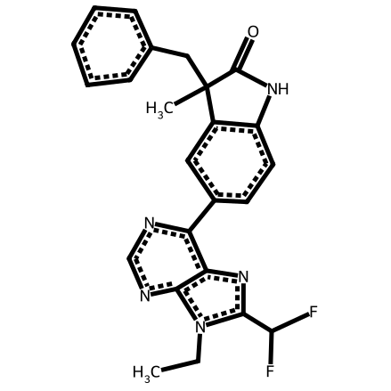 CCn1c(C(F)F)nc2c(-c3ccc4c(c3)C(C)(Cc3ccccc3)C(=O)N4)ncnc21